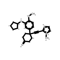 COc1ccc(C2(C#Cc3nccn3C)CCC(=O)CC2)cc1OC1CCCC1